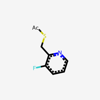 CC(=O)SCc1ncccc1F